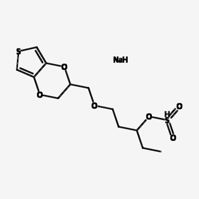 CCC(CCOCC1COc2cscc2O1)O[SH](=O)=O.[NaH]